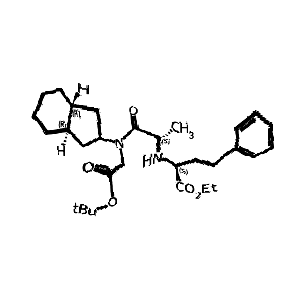 CCOC(=O)[C@H](CCc1ccccc1)N[C@@H](C)C(=O)N(CC(=O)OC(C)(C)C)C1C[C@H]2CCCC[C@@H]2C1